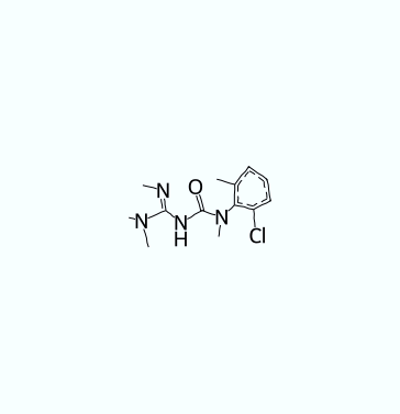 CN=C(NC(=O)N(C)c1c(C)cccc1Cl)N(C)C